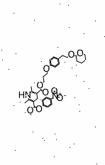 COC(=O)C1=C(C)NC(C)=C(C(=O)OCCCOc2ccc(CCOC3CCCCO3)cc2)[C@@H]1c1cccc([N+](=O)[O-])c1